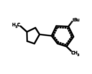 Cc1cc(C2CCC(C)C2)cc(C(C)(C)C)c1